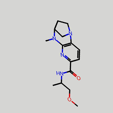 COCC(C)NC(=O)c1ccc2c(n1)N(C)C1CCN2C1